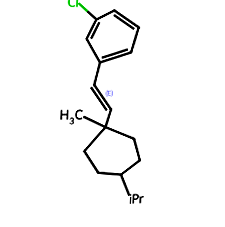 CC(C)C1CCC(C)(/C=C/c2cccc(Cl)c2)CC1